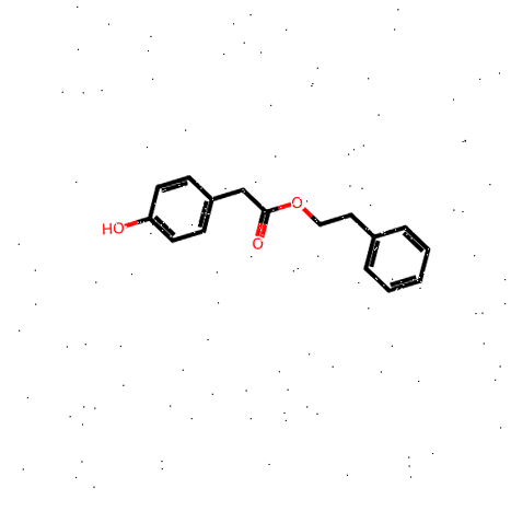 O=C(Cc1ccc(O)cc1)OCCc1ccccc1